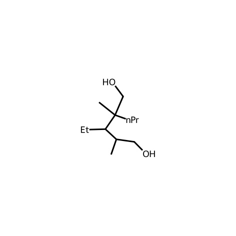 CCCC(C)(CO)C(CC)C(C)CO